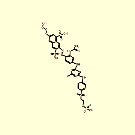 NC(=O)Nc1cc(Nc2nc(F)nc(Nc3ccc(S(=O)(=O)CCOS(=O)(=O)O)cc3)n2)ccc1/N=N/c1cc2c(S(=O)(=O)O)cc(SOOO)cc2cc1S(=O)(=O)O